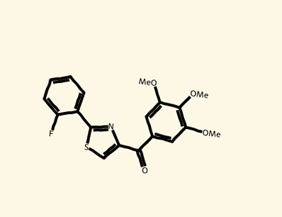 COc1cc(C(=O)c2csc(-c3ccccc3F)n2)cc(OC)c1OC